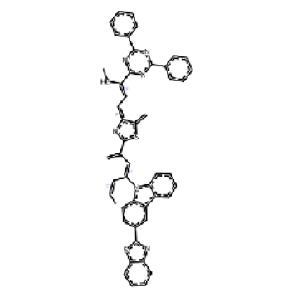 C=C(/C=C(\C=C/C)n1c2ccccc2c2cc(-c3nc4ccccc4s3)ccc21)c1n/c(=C/C=C(\BC)c2nc(-c3ccccc3)nc(-c3ccccc3)n2)c(=C)s1